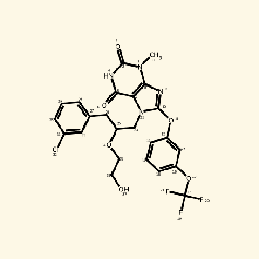 Cn1c(=O)[nH]c(=O)c2c1nc(Oc1cccc(OC(F)(F)F)c1)n2CC(Cc1cccc(Cl)c1)OCCO